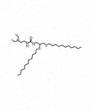 CCCCCCCCCCCSCC(COC(=O)NCCN(CC)CC)SCCCCCCCCCCC